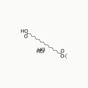 CC(C)OC(=O)CCCCCCCCCCCCCCC(=O)O.Cl.Cl